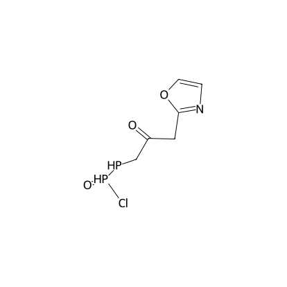 O=C(CP[PH](=O)Cl)Cc1ncco1